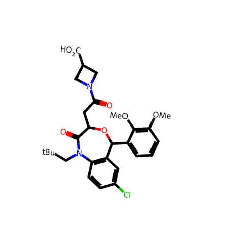 COc1cccc(C2OC(CC(=O)N3CC(C(=O)O)C3)C(=O)N(CC(C)(C)C)c3ccc(Cl)cc32)c1OC